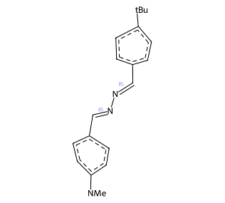 CNc1ccc(/C=N/N=C/c2ccc(C(C)(C)C)cc2)cc1